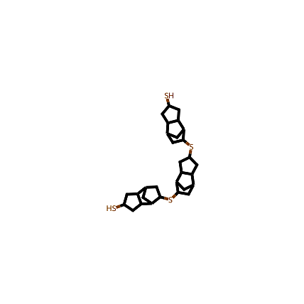 SC1CC2C3CC(SC4CC5C6CC(SC7CC8CC7C7CC(S)CC87)C(C6)C5C4)C(C3)C2C1